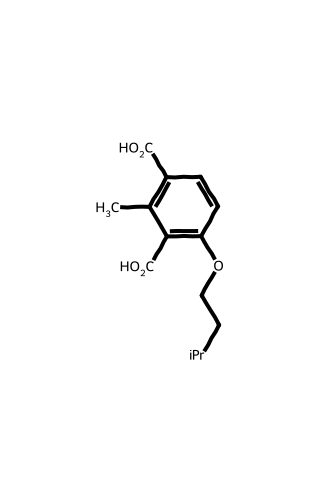 Cc1c(C(=O)O)ccc(OCCC(C)C)c1C(=O)O